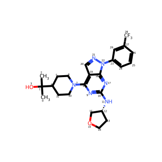 CC(C)(O)C1CCN(c2nc(N[C@@H]3CCOC3)nc3c2cnn3-c2cccc(C(F)(F)F)c2)CC1